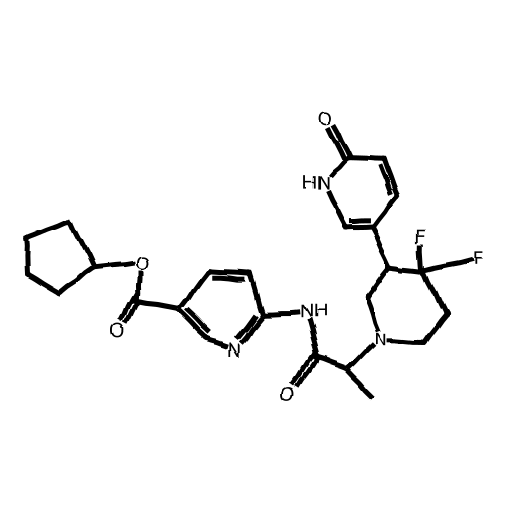 CC(C(=O)Nc1ccc(C(=O)OC2CCCC2)cn1)N1CCC(F)(F)C(c2ccc(=O)[nH]c2)C1